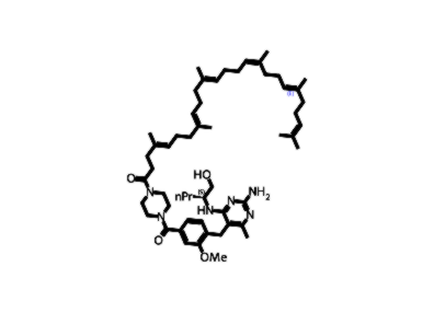 CCC[C@@H](CO)Nc1nc(N)nc(C)c1Cc1ccc(C(=O)N2CCN(C(=O)CCC(C)=CCCC(C)=CCCC(C)=CCCC=C(C)CC/C=C(\C)CCC=C(C)C)CC2)cc1OC